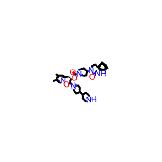 Cc1cnc(C[C@@H](OC(=O)N2CCC(N3CCc4ccccc4NC3=O)CC2)C(=O)N2CCC(C3CCNCC3)CC2)cc1C